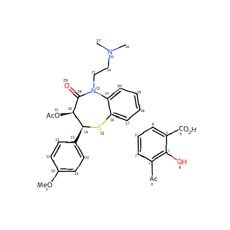 CC(=O)c1cccc(C(=O)O)c1O.COc1ccc([C@@H]2Sc3ccccc3N(CCN(C)C)C(=O)[C@@H]2OC(C)=O)cc1